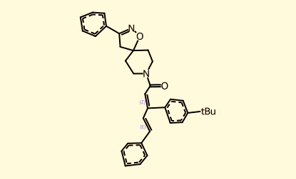 CC(C)(C)c1ccc(C(=C\C(=O)N2CCC3(CC2)CC(c2ccccc2)=NO3)/C=C/c2ccccc2)cc1